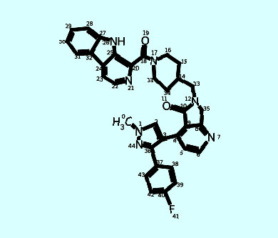 Cn1cc(-c2ccnc3c2C(=O)N(CC2CCN(C(=O)c4nccc5c4[nH]c4ccccc45)CC2)C3)c(-c2ccc(F)cc2)n1